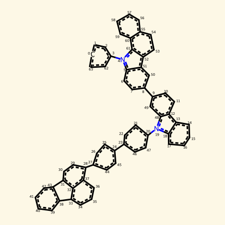 c1ccc(-n2c3ccc(-c4ccc5c6ccccc6n(-c6ccc(-c7ccc(-c8ccc9c%10c(cccc8%10)-c8ccccc8-9)cc7)cc6)c5c4)cc3c3ccc4ccccc4c32)cc1